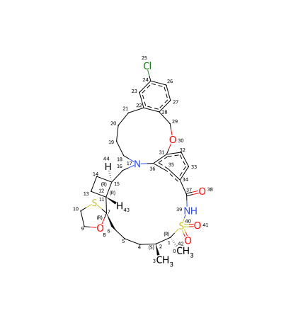 C[C@@H]1[C@@H](C)CCC[C@]2(OCCS2)[C@@H]2CC[C@H]2CN2CCCCc3cc(Cl)ccc3COc3ccc(cc32)C(=O)NS1(=O)=O